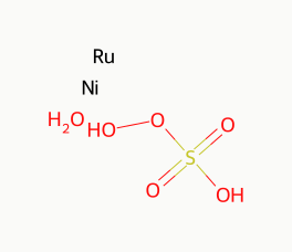 O.O=S(=O)(O)OO.[Ni].[Ru]